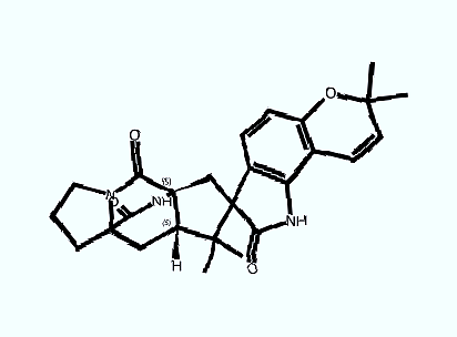 CC1(C)C=Cc2c(ccc3c2NC(=O)C32C[C@@]34NC(=O)C5(CCCN5C3=O)C[C@H]4C2(C)C)O1